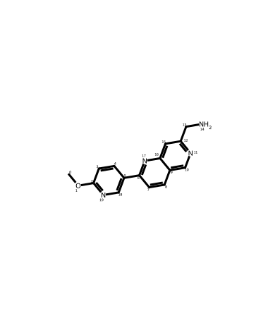 COc1ccc(-c2ccc3cnc(CN)cc3n2)cn1